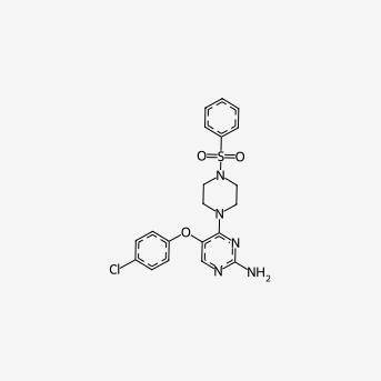 Nc1ncc(Oc2ccc(Cl)cc2)c(N2CCN(S(=O)(=O)c3ccccc3)CC2)n1